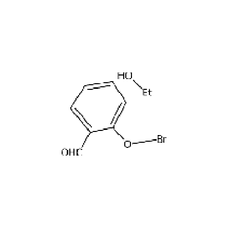 CCO.O=Cc1ccccc1OBr